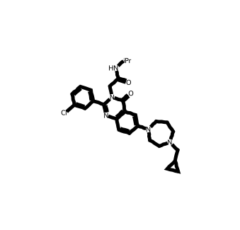 CC(C)NC(=O)Cn1c(-c2cccc(Cl)c2)nc2ccc(N3CCCN(CC4CC4)CC3)cc2c1=O